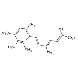 COc1cc(C)c(C=CC(C)=CC=C(C)C(=O)O)c(C)c1C